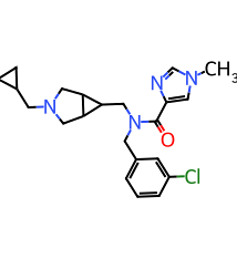 Cn1cnc(C(=O)N(Cc2cccc(Cl)c2)CC2C3CN(CC4CC4)CC32)c1